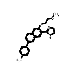 COCCOc1cc2ccc(-c3ccc(C)cc3)cc2cc1C1=NCCN1